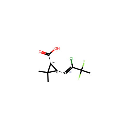 CC(F)(F)/C(Cl)=C/[C@H]1[C@@H](C(=O)O)C1(C)C